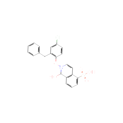 O=S(=O)(O)c1cccc2c1C=CN(Oc1ccc(Cl)cc1Cc1ccccc1)C2O